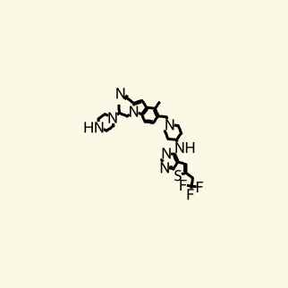 Cc1c(CN2CCC(Nc3ncnc4sc(CC(F)(F)F)cc34)CC2)ccc2c1cc(C#N)n2CC(C)N1CCNCC1